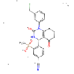 CS(=O)(=O)c1cc(C#N)ccc1C1NC(=O)N(c2cccc(CF)c2)C2=C1C(=O)CCC2